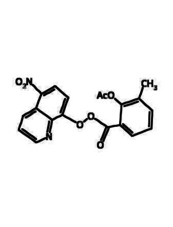 CC(=O)Oc1c(C)cccc1C(=O)OOc1ccc([N+](=O)[O-])c2cccnc12